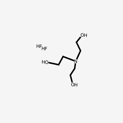 F.F.OCCN(CCO)CCO